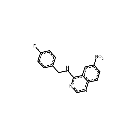 O=[N+]([O-])c1ccc2ncnc(NCc3ccc(F)cc3)c2c1